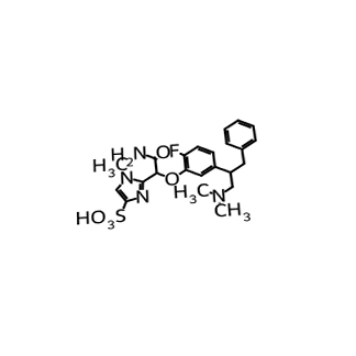 CN(C)CC(Cc1ccccc1)c1ccc(F)c(OC(C(N)=O)c2nc(S(=O)(=O)O)cn2C)c1